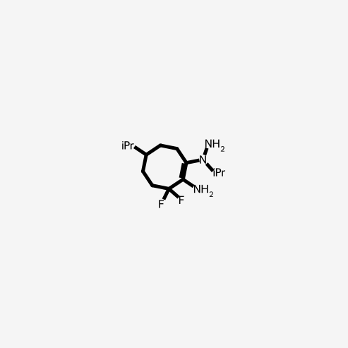 CC(C)C1CC/C(N(N)C(C)C)=C(/N)C(F)(F)CC1